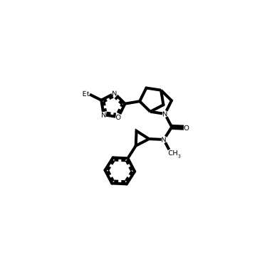 CCc1noc(C2CC3CC2N(C(=O)N(C)C2CC2c2ccccc2)C3)n1